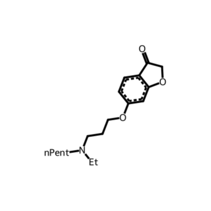 CCCCCN(CC)CCCOc1ccc2c(c1)OCC2=O